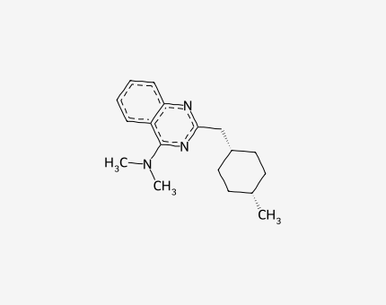 CN(C)c1nc(C[C@H]2CC[C@@H](C)CC2)nc2ccccc12